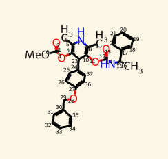 COC(=O)OC1=C(C)NC(C)=C(OC(=O)N[C@H](C)c2ccccc2)C1c1ccc(OCc2ccccc2)cc1